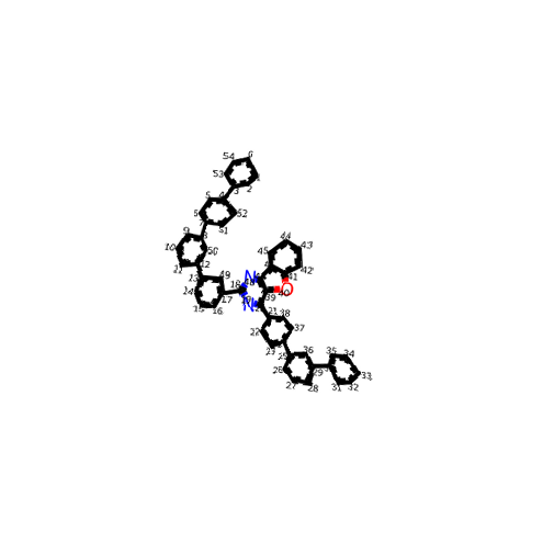 c1ccc(-c2ccc(-c3cccc(-c4cccc(-c5nc(-c6ccc(-c7cccc(-c8ccccc8)c7)cc6)c6oc7ccccc7c6n5)c4)c3)cc2)cc1